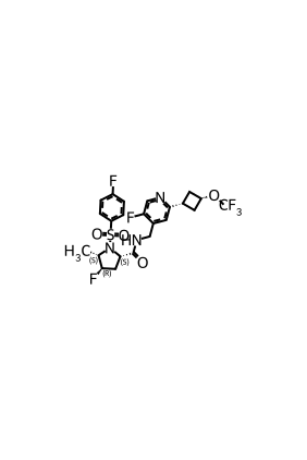 C[C@H]1[C@H](F)C[C@@H](C(=O)NCc2cc([C@H]3C[C@@H](OC(F)(F)F)C3)ncc2F)N1S(=O)(=O)c1ccc(F)cc1